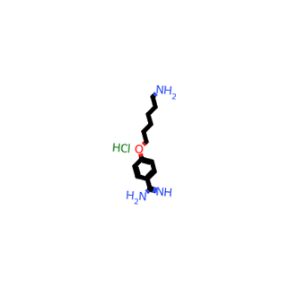 Cl.N=C(N)c1ccc(OCCCCCCN)cc1